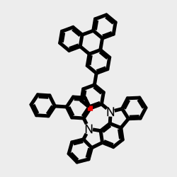 c1ccc(-c2cccc(-n3c4ccccc4c4ccc5c6ccccc6n(-c6cccc(-c7ccc8c9ccccc9c9ccccc9c8c7)c6)c5c43)c2)cc1